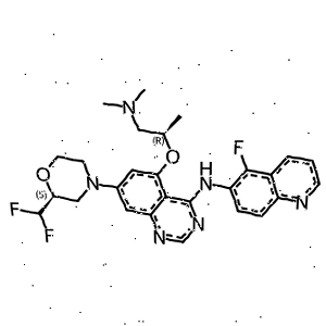 C[C@H](CN(C)C)Oc1cc(N2CCO[C@H](C(F)F)C2)cc2ncnc(Nc3ccc4ncccc4c3F)c12